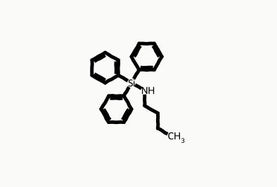 CCCCN[Si](c1ccccc1)(c1ccccc1)c1ccccc1